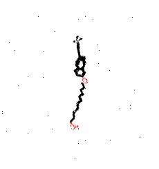 C[Si](C)(C)C#Cc1ccc2cc(OCCCCCCCCCCCO)ccc2c1